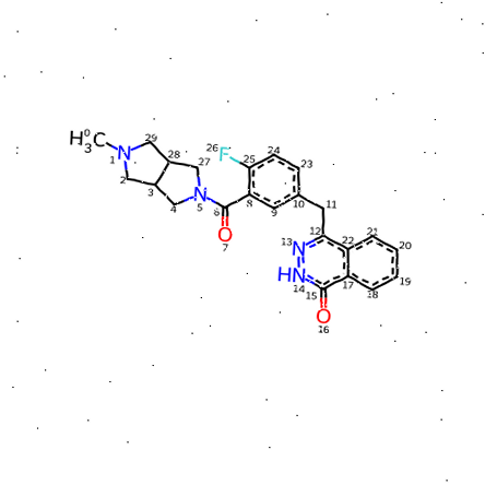 CN1CC2CN(C(=O)c3cc(Cc4n[nH]c(=O)c5ccccc45)ccc3F)CC2C1